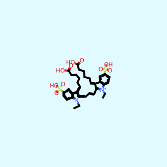 CCn1c(=C/C=C/C2=[N+](CC)c3ccc(S(=O)(=O)O)cc3/C2=C\CCCCC(=O)O)/c(=C/CCCCC(=O)O)c2cc(S(=O)(=O)O)ccc21